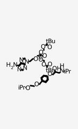 CC(C)(C)C(=O)OCOP(=O)(COCCn1cnc2c(N)ncnc21)OCOC(=O)C(C)(C)C.CC(C)NCC(O)COc1ccc(COCCOC(C)C)cc1